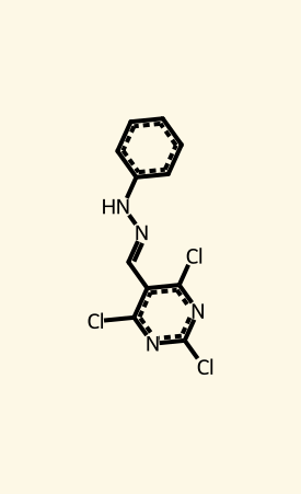 Clc1nc(Cl)c(C=NNc2ccccc2)c(Cl)n1